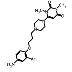 CC(=O)c1cc([N+](=O)[O-])ccc1OCCCN1CCN(c2cc(=O)n(C)c(=O)n2C)CC1